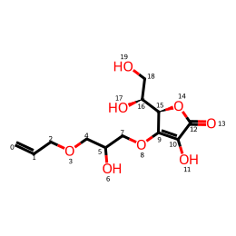 C=CCOCC(O)COC1=C(O)C(=O)O[C@@H]1[C@@H](O)CO